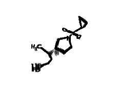 CC(CS)[C@H]1CCN(S(=O)(=O)C2CC2)C1